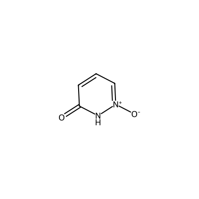 O=c1ccc[n+]([O-])[nH]1